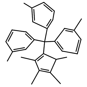 CC1=C(C)C(C)C(C(c2cccc(C)c2)(c2cccc(C)c2)c2cccc(C)c2)=C1C